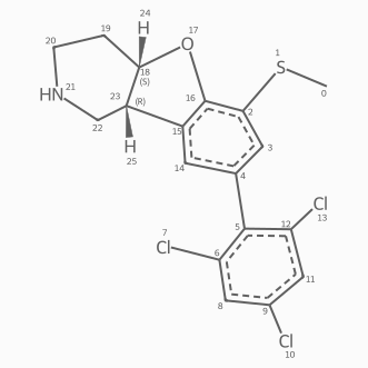 CSc1cc(-c2c(Cl)cc(Cl)cc2Cl)cc2c1O[C@H]1CCNC[C@@H]21